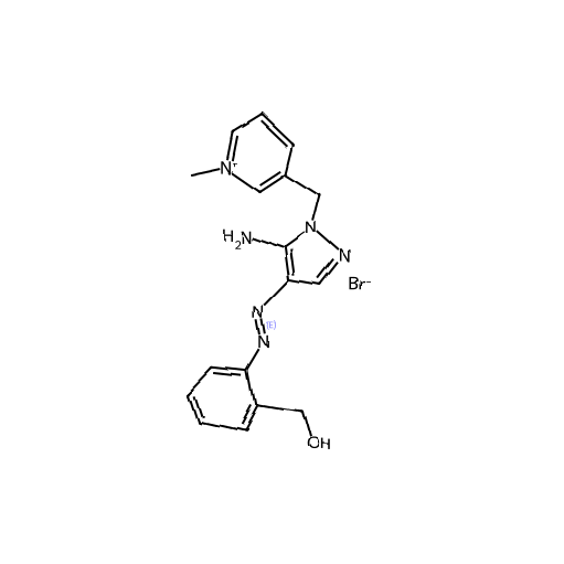 C[n+]1cccc(Cn2ncc(/N=N/c3ccccc3CO)c2N)c1.[Br-]